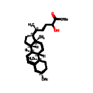 COC(=O)C(O)CC[C@@H](C)[C@H]1CC[C@H]2[C@@H]3CC=C4C[C@@H](OC(C)=O)CC[C@]4(C)[C@H]3CC[C@]12C